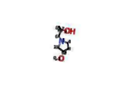 CO[C@H]1CCN(C[C@@H](C)O)C1